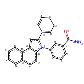 NC(=O)c1cccc(-n2c(C3=CCCC=C3)cc3c4ccccc4ccc32)c1